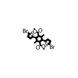 COC(=O)c1c(C)c(-c2ccc(Br)s2)c(C(=O)OC)c(C)c1-c1ccc(Br)s1